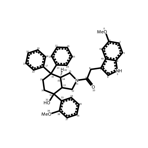 COc1ccc2[nH]cc(CC(=O)N3CC4[C@H](C3)C(c3ccccc3)(c3ccccc3)CCC4(O)c3ccccc3OC)c2c1